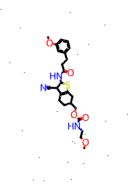 COCCNC(=O)OCC1CCC2=C(C1)SC(NC(=O)CCc1cccc(OC)c1)C2C#N